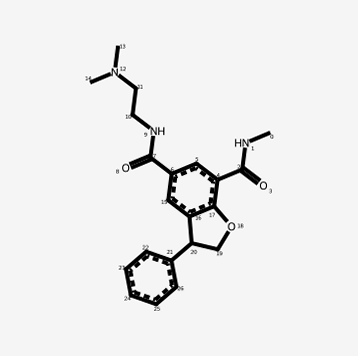 CNC(=O)c1cc(C(=O)NCCN(C)C)cc2c1OCC2c1ccccc1